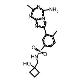 Cc1nc(N)n2cc(-c3cc(S(=O)(=O)NCC4(O)CCC4)ccc3C)nc2n1